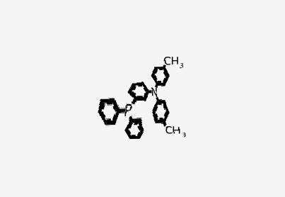 Cc1ccc(N(c2ccc(C)cc2)c2cccc(P(c3ccccc3)c3ccccc3)c2)cc1